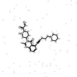 Cc1nc2cccc(C#CCCCN3CCCCC3)c2c(=O)n1C1CCC(C(=O)C=O)NC1